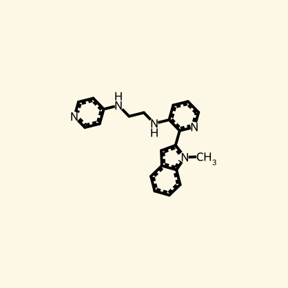 Cn1c(-c2ncccc2NCCNc2ccncc2)cc2ccccc21